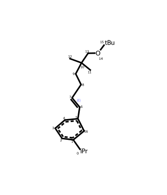 CC(C)c1cccc(/C=C/CCC(C)(C)COC(C)(C)C)c1